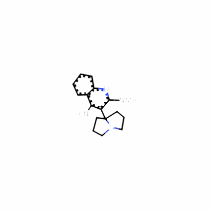 CNc1nc2ccccc2c([N+](=O)[O-])c1C12CCCN1CCC2